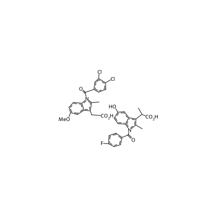 COc1ccc2c(c1)c(CC(=O)O)c(C)n2C(=O)c1ccc(Cl)c(Cl)c1.Cc1c(C(C)C(=O)O)c2cc(O)ccc2n1C(=O)c1ccc(F)cc1